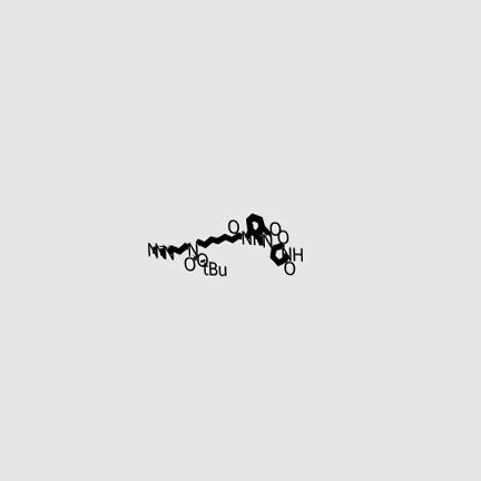 CC(C)(C)OC(=O)N(CCCCCCC(=O)Nc1cccc2c1CN(C1CCC(=O)NC1=O)C2=O)CCCN=[N+]=[N-]